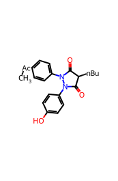 CC(C)=O.CCCCC1C(=O)N(c2ccccc2)N(c2ccc(O)cc2)C1=O